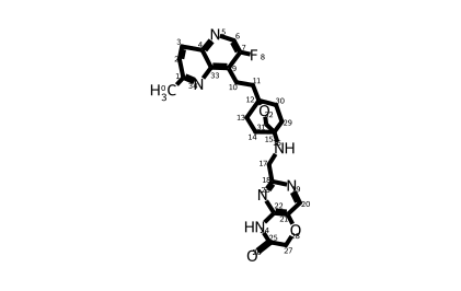 Cc1ccc2ncc(F)c(CCC34CCC(NCc5ncc6c(n5)NC(=O)CO6)(CC3)CO4)c2n1